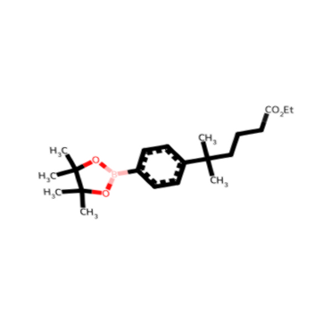 CCOC(=O)CCCC(C)(C)c1ccc(B2OC(C)(C)C(C)(C)O2)cc1